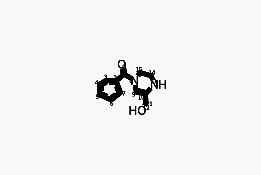 O=C(c1ccccc1)N1C=C(CO)NCC1